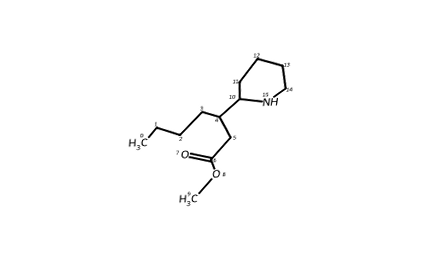 CCCCC(CC(=O)OC)C1CCCCN1